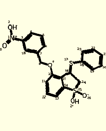 O=[N+](O)c1cccc(COc2cccc3c2C(Sc2ccccc2)CS3([O-])O)c1